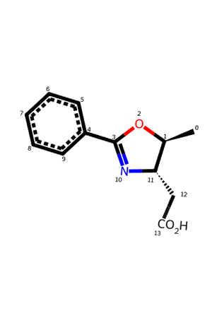 C[C@@H]1OC(c2ccccc2)=N[C@H]1CC(=O)O